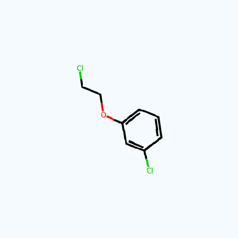 ClCCOc1cccc(Cl)c1